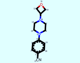 N#Cc1ccc(N2CCN(C3COC3)CC2)cc1